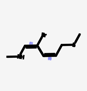 CN/C=C(Br)\C=C/CSC